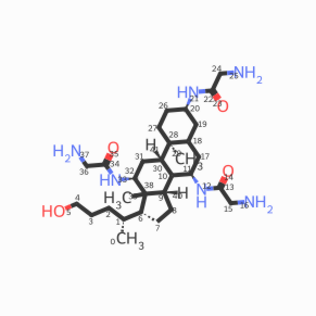 C[C@H](CCCO)[C@H]1CC[C@H]2C3[C@H](NC(=O)CN)CC4C[C@H](NC(=O)CN)CC[C@]4(C)[C@H]3C[C@H](NC(=O)CN)C12C